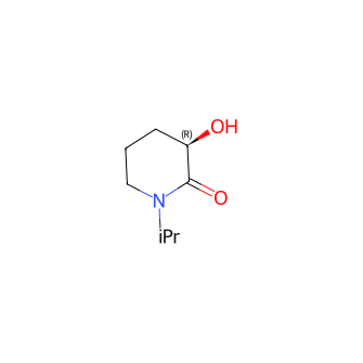 CC(C)N1CCC[C@@H](O)C1=O